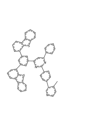 Cc1ccncc1-c1ccc(-c2nc(-c3ccccc3)cc(-c3cc(-c4cccc5c4sc4ccccc45)cc(-c4cccc5c4sc4ccccc45)c3)n2)cc1